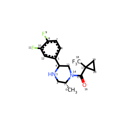 C[C@@H]1CNC(c2ccc(F)c(F)c2)CN1C(=O)C1(C(F)(F)F)CC1